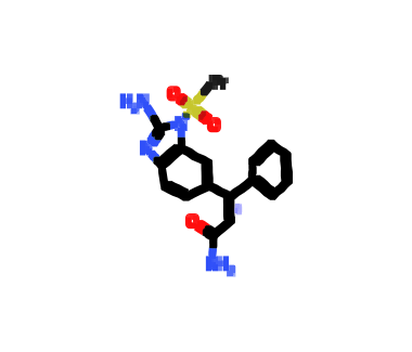 CC(C)S(=O)(=O)n1c(N)nc2ccc(/C(=C\C(N)=O)c3ccccc3)cc21